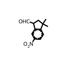 CC1(C)CC(C=O)c2cc([N+](=O)[O-])ccc21